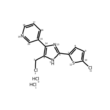 Cl.Cl.ClCc1[nH]c(-c2ccc(Cl)s2)nc1-c1cccnc1